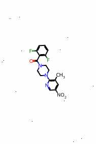 Cc1cc([N+](=O)[O-])cnc1N1CCN(C(=O)c2c(F)cccc2F)CC1